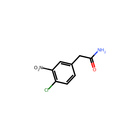 NC(=O)Cc1ccc(Cl)c([N+](=O)[O-])c1